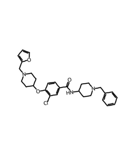 O=C(NC1CCN(Cc2ccccc2)CC1)c1ccc(OC2CCN(Cc3ccco3)CC2)c(Cl)c1